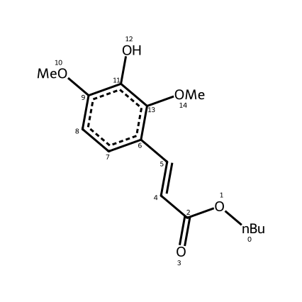 CCCCOC(=O)C=Cc1ccc(OC)c(O)c1OC